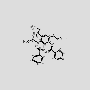 CCCc1cc(CCC)c(OC(=O)c2ccccc2)c(OC(=O)c2ccccc2)c1CC(C)C